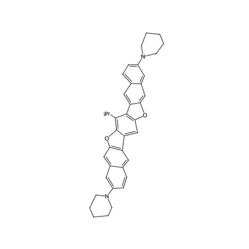 CC(C)c1c2oc3cc4cc(N5CCCCC5)ccc4cc3c2cc2oc3cc4cc(N5CCCCC5)ccc4cc3c12